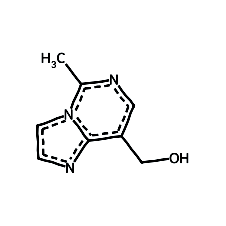 Cc1ncc(CO)c2nccn12